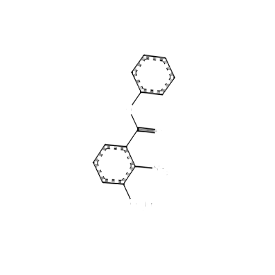 CCOC(=O)c1cccc(C(=O)Oc2ccccc2)c1N